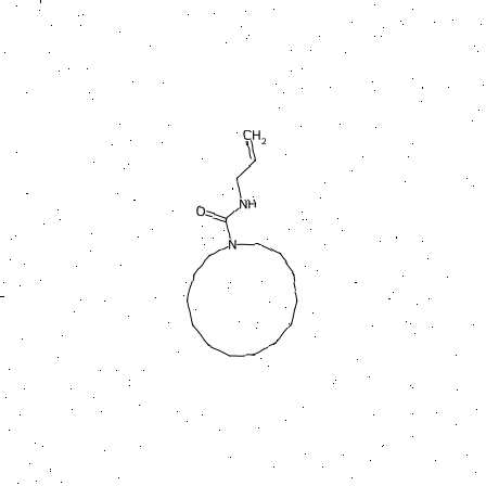 C=CCNC(=O)N1CCCCCCCCCCCCC1